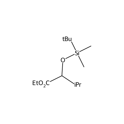 CCOC(=O)C(O[Si](C)(C)C(C)(C)C)C(C)C